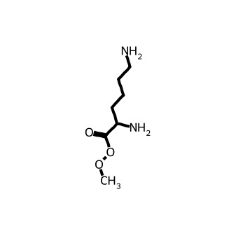 COOC(=O)C(N)CCCCN